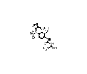 N=C(N)NC(=O)Nc1ccc(N(c2scnc2C(=O)O)[SH](=O)=O)cc1F